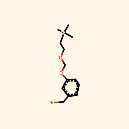 C[Si](C)(C)CCOCOc1cccc(CBr)c1